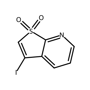 O=S1(=O)C=C(I)c2cccnc21